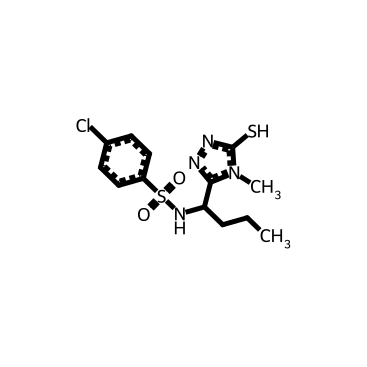 CCCC(NS(=O)(=O)c1ccc(Cl)cc1)c1nnc(S)n1C